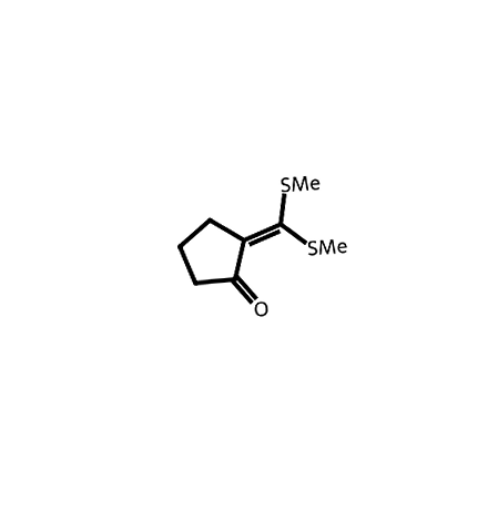 CSC(SC)=C1CCCC1=O